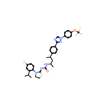 CC(CC(C)c1ccc(-c2ncn(-c3ccc(OC(F)(F)F)cc3)n2)cc1)NC(=O)/N=C1\SCCN1c1ccc(F)cc1C(C)C